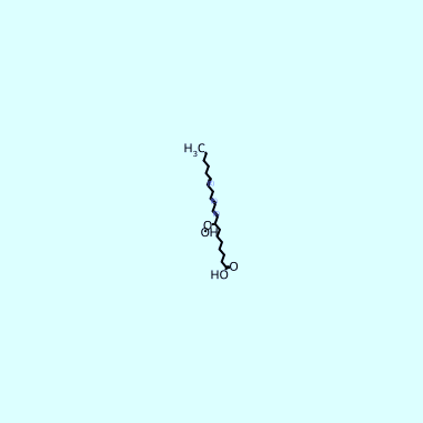 CCCCC/C=C/C/C=C/C=C/C(CCCCCCC(=O)O)OO